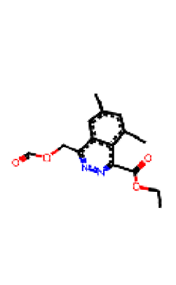 CCOC(=O)c1nnc(COC=O)c2cc(C)cc(C)c12